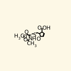 COC(=O)[C@H](CSCC1C(=O)C=CC1C(=O)O)NC(C)=O